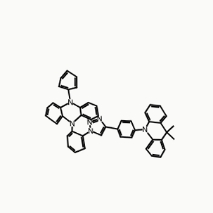 CC1(C)c2ccccc2N(c2ccc(-c3cn(-c4ccccc4N4c5ccccc5N(c5ccccc5)c5ccccc54)nn3)cc2)c2ccccc21